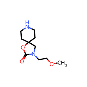 COCCN1CC2(CCNCC2)OC1=O